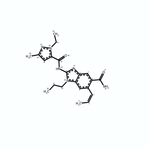 C/C=C\c1cc2c(cc1C(N)=O)nc(NC(=O)c1cc(C)nn1CC)n2CCC